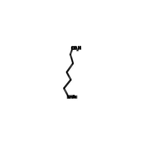 CC(=O)NCCCCCC(=O)O